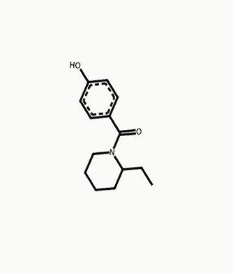 CCC1CCCCN1C(=O)c1ccc(O)cc1